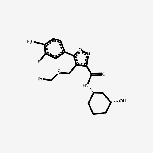 CC(C)CNCc1c(C(=O)N[C@H]2CCC[C@@H](O)C2)noc1-c1ccc(C(F)(F)F)c(F)c1